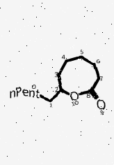 CCCCCCC1CCCCCC(=O)O1